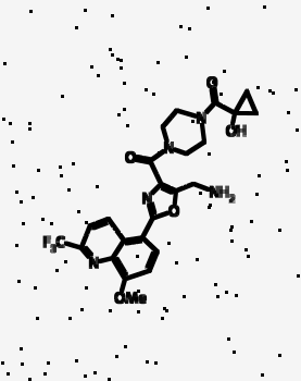 COc1ccc(-c2nc(C(=O)N3CCN(C(=O)C4(O)CC4)CC3)c(CN)o2)c2ccc(C(F)(F)F)nc12